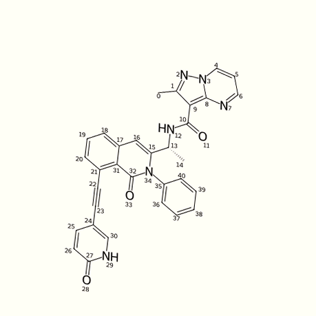 Cc1nn2cccnc2c1C(=O)N[C@H](C)c1cc2cccc(C#Cc3ccc(=O)[nH]c3)c2c(=O)n1-c1ccccc1